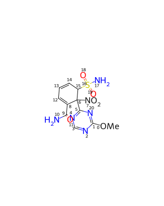 COc1ncnc(C2([N+](=O)[O-])C(C(N)=O)=CC=CC2S(N)(=O)=O)n1